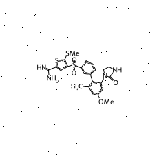 COc1cc(C)c(-c2cccc(S(=O)(=O)c3cc(C(=N)N)sc3SC)c2)c(N2CCNC2=O)c1